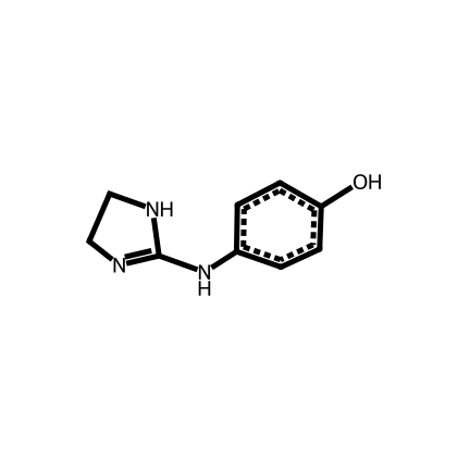 Oc1ccc(NC2=NCCN2)cc1